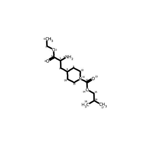 CCOC(=O)C(N)CC1CCN(C(=O)OCC(C)C)CC1